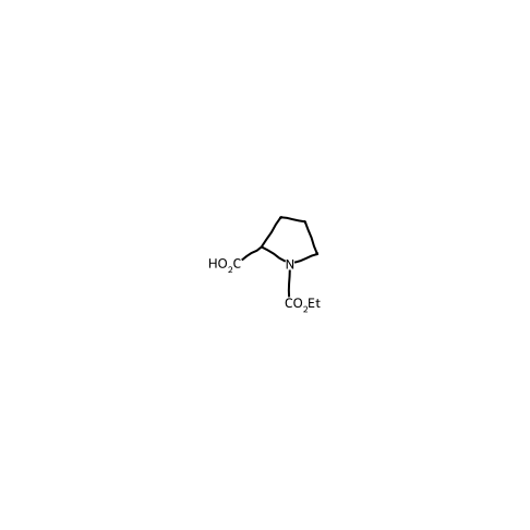 CCOC(=O)N1CCCC1C(=O)O